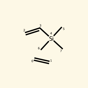 C=C.C=C[Si](C)(C)C